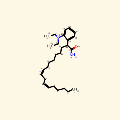 CCCCC/C=C\C/C=C\CCCCCCC(C(N)=O)c1ccccc1N(CC)CC